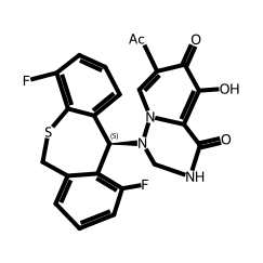 CC(=O)c1cn2c(c(O)c1=O)C(=O)NCN2[C@@H]1c2cccc(F)c2SCc2cccc(F)c21